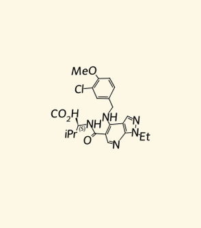 CCn1ncc2c(NCc3ccc(OC)c(Cl)c3)c(C(=O)N[C@H](C(=O)O)C(C)C)cnc21